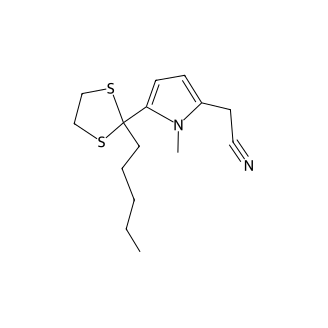 CCCCCC1(c2ccc(CC#N)n2C)SCCS1